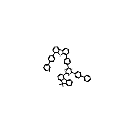 CC1(C)c2ccccc2-c2c(-c3nc(-c4ccc(-c5ccccc5)cc4)nc(-c4ccc(-c5cccc6c5sc5c(-c7ccc(-c8cccnc8)cc7)cccc56)cc4)n3)cccc21